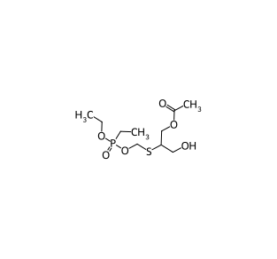 CCOP(=O)(CC)OCSC(CO)COC(C)=O